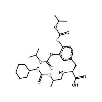 CC(C)OC(=O)Oc1ccc(C[C@H](NCC(C)OC(=O)OC2CCCCC2)C(=O)O)cc1OC(=O)OC(C)C